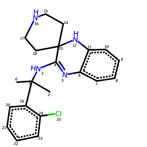 CC(C)(NC1=Nc2ccccc2NC12CCNCC2)c1ccccc1Cl